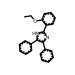 CCOc1ccccc1-c1nc(-c2ccccc2)c(-c2ccccc2)[nH]1